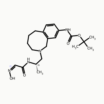 C[C@@H](CN1CCCCc2ccc(NC(=O)OC(C)(C)C)cc2C1)NC(=O)/C=N\O